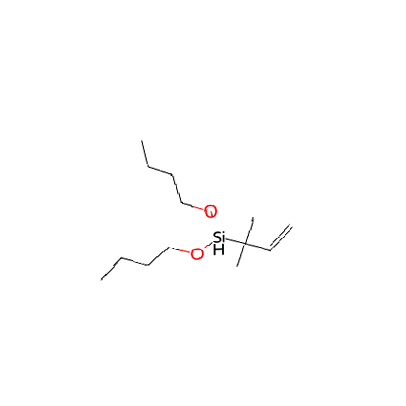 C=CC(C)(C)[SiH](OCCCC)OCCCC